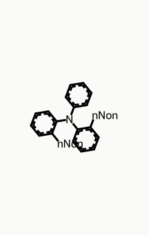 CCCCCCCCCc1ccccc1N(c1ccccc1)c1ccccc1CCCCCCCCC